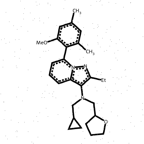 CCc1nn2c(-c3c(C)cc(C)cc3OC)cccc2c1N(CC1CC1)CC1CCCO1